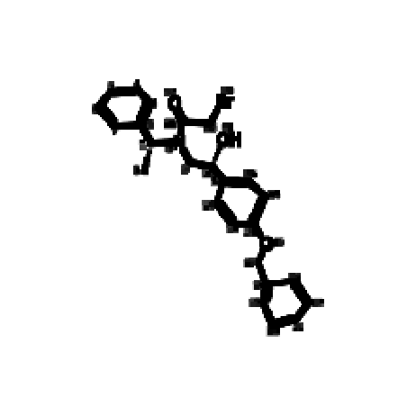 C[C@H](c1ccccc1)N(C[C@H](O)c1ccc(OCc2ccccc2)cc1)C(=O)CBr